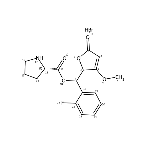 Br.COC1=CC(=O)OC1C(OC(=O)[C@@H]1CCCN1)c1ccccc1F